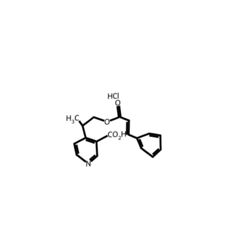 CC(COC(=O)C=Cc1ccccc1)c1ccncc1C(=O)O.Cl